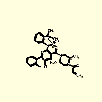 C=CC(=O)N1C[C@H](C)N(C2=N[P@@](C)(=O)N(c3ccccc3C(C)C)c3nc(-c4ccccc4F)c(Cl)cc32)C[C@H]1C